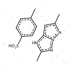 Cc1cc2[nH]c(C)nn2n1.Cc1ccc(S(=O)(=O)O)cc1